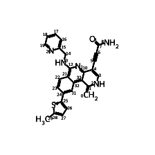 C=C1NC=C(C#CC(N)=O)c2nc(NCc3ccccn3)c3ccc(-c4ccc(C)s4)cc3c21